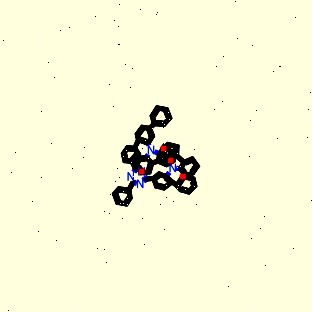 c1ccc(-c2ccc(-c3cccc(-c4nc(-c5ccccc5)nc(-c5ccc(-c6ccccc6)c(-n6c7ccccc7c7ccccc76)c5)n4)c3)c(-n3c4ccccc4c4ccccc43)c2)cc1